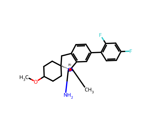 COC1CCC2(CC1)Cc1ccc(-c3ccc(F)cc3F)cc1[C@@]21N=C(C)C(N)=N1